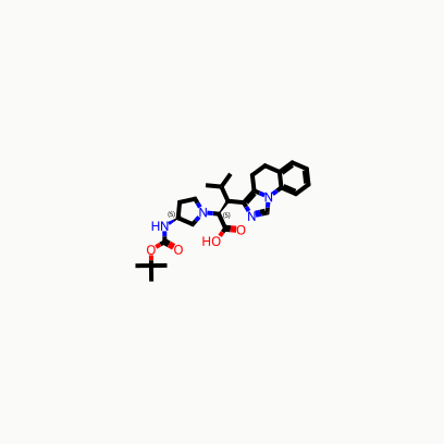 CC(C)C(c1ncn2c1CCc1ccccc1-2)[C@@H](C(=O)O)N1CC[C@H](NC(=O)OC(C)(C)C)C1